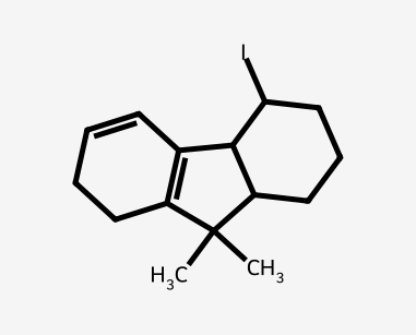 CC1(C)C2=C(C=CCC2)C2C(I)CCCC21